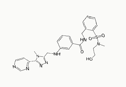 CN(CCO)S(=O)(=O)c1ccccc1CNC(=O)c1cccc(NCc2nnc(-c3ccncn3)n2C)c1